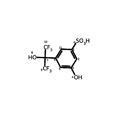 O=S(=O)(O)c1cc(O)cc(C(O)(C(F)(F)F)C(F)(F)F)c1